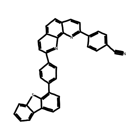 N#Cc1ccc(-c2ccc3ccc4ccc(-c5ccc(-c6cccc7c6sc6ccccc67)cc5)nc4c3n2)cc1